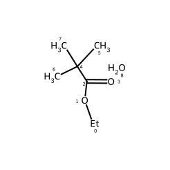 CCOC(=O)C(C)(C)C.O